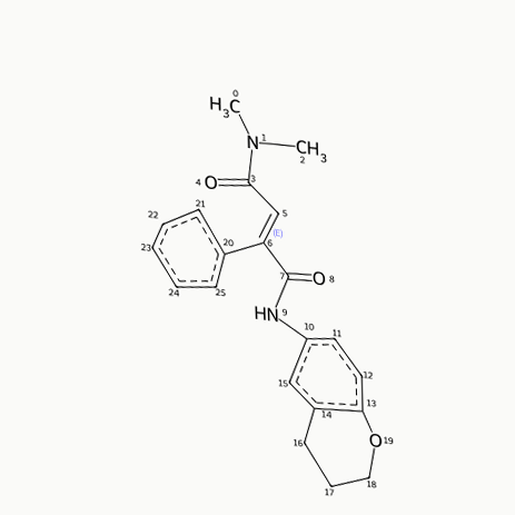 CN(C)C(=O)/C=C(/C(=O)Nc1ccc2c(c1)CCCO2)c1ccccc1